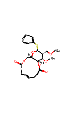 CCCCOC[C@@H]1[C@@H](OCCCC)[C@@H]2OC(=O)CC/C=C/CCC(=O)OC[C@H]2O[C@H]1Sc1ccccc1